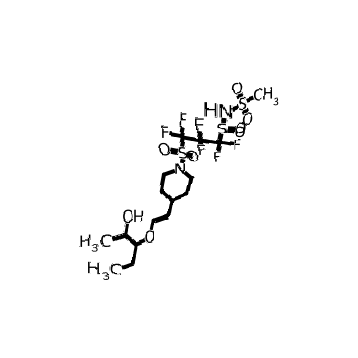 CCC(O/C=C/C1CCN(S(=O)(=O)C(F)(F)C(F)(F)C(F)(F)S(=O)(=O)NS(C)(=O)=O)CC1)C(C)O